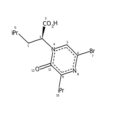 CC(C)C[C@@H](C(=O)O)n1cc(Br)nc(C(C)C)c1=O